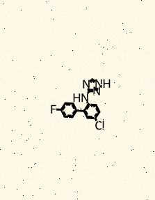 Fc1ccc(-c2cc(Cl)ccc2Nc2nc[nH]n2)cc1